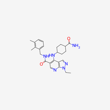 CCn1ncc2c(NC3CCC(C(N)=O)CC3)c(C(=O)NCc3cccc(C)c3C)cnc21